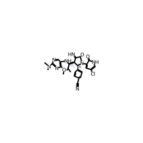 COc1nc(N(C)C)ncc1N/C(=C1\C(=N)C(=O)N(c2cc(Cl)c[nH]c2=O)[C@H]1c1ccc(C#N)cc1)C(C)C